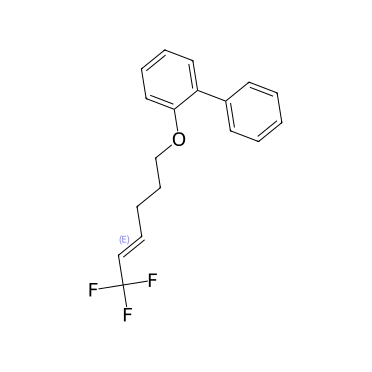 FC(F)(F)/C=C/CCCOc1ccccc1-c1ccccc1